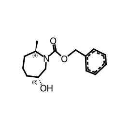 C[C@@H]1CCC[C@@H](O)CN1C(=O)OCc1ccccc1